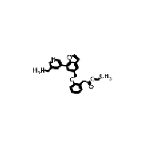 CCOC(=O)Cc1ccccc1OCc1cc(-c2cncc(CN)c2)c2occc2c1